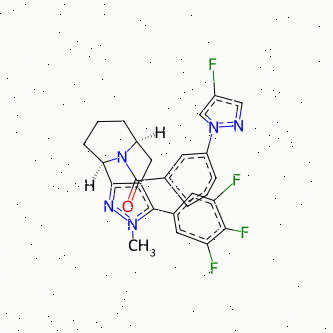 Cn1nc2c(c1-c1cc(F)c(F)c(F)c1)C[C@@H]1CCC[C@H]2N1C(=O)c1cccc(-n2cc(F)cn2)c1